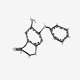 Nc1cc2c(cc1Oc1ccccc1)CCC2=O